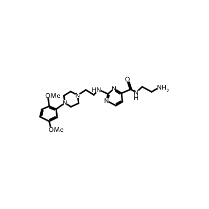 COc1ccc(OC)c(N2CCN(CCNc3nccc(C(=O)NCCN)n3)CC2)c1